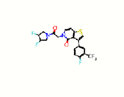 O=C(Cn1ccc2scc(-c3ccc(F)c(C(F)(F)F)c3)c2c1=O)N1CC(F)C(F)C1